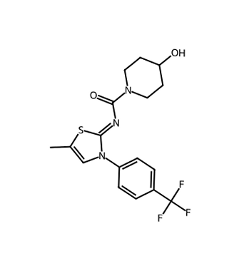 Cc1cn(-c2ccc(C(F)(F)F)cc2)c(=NC(=O)N2CCC(O)CC2)s1